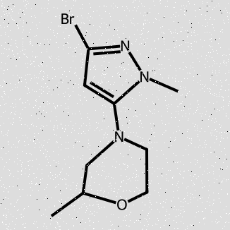 CC1CN(c2cc(Br)nn2C)CCO1